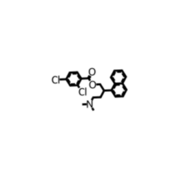 CN(C)CCC(COC(=O)c1ccc(Cl)cc1Cl)c1cccc2ccccc12